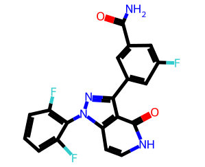 NC(=O)c1cc(F)cc(-c2nn(-c3c(F)cccc3F)c3cc[nH]c(=O)c23)c1